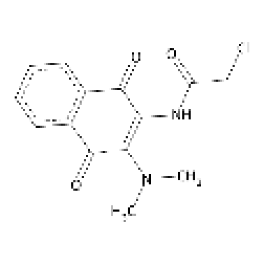 CN(C)C1=C(NC(=O)CCl)C(=O)c2ccccc2C1=O